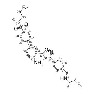 CC(CF)NCc1ccc(-c2cc(-c3nc(-c4ccc(S(=O)(=O)C(C)CCF)cc4)cnc3N)on2)cc1